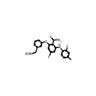 CC(=O)NCc1cccc(Oc2cc(F)cc(Nc3ccc(I)cc3F)c2C(N)=O)c1